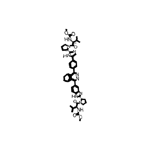 COC(=O)N[C@H](C(=O)N1CCC[C@H]1c1ncc(-c2ccc(-c3nnc(-c4ccc5[nH]c([C@@H]6CCCN6C(=O)[C@@H](NC(=O)OC)C(C)C)nc5c4)c4c3C3CCC4CC3)cc2)[nH]1)C(C)C